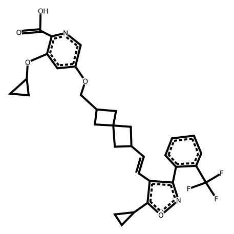 O=C(O)c1ncc(OCC2CC3(CC(C=Cc4c(-c5ccccc5C(F)(F)F)noc4C4CC4)C3)C2)cc1OC1CC1